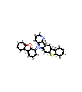 c1ccc2c(c1)oc1c(-n3c4cc5sc6ccccc6c5cc4c4ncccc43)cccc12